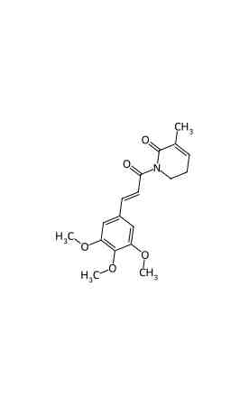 COc1cc(C=CC(=O)N2CCC=C(C)C2=O)cc(OC)c1OC